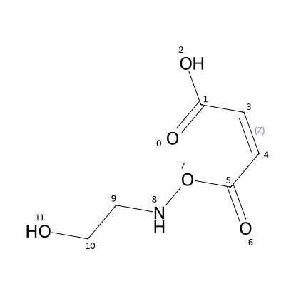 O=C(O)/C=C\C(=O)ONCCO